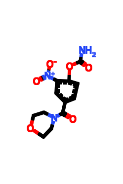 NC(=O)Oc1ccc(C(=O)N2CCOCC2)cc1[N+](=O)[O-]